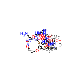 CN[C@@H](CSCc1cc2cc(c1)OCCCCCCO/N=C/C(=O)N[C@@H](CCCCN)C(=O)N[C@H](C(=O)N1CCC[C@H]1C(=O)N[C@@H](CC(C)C)C(=O)N[C@@H](CC(=O)OOC)C(=O)N[C@H](C(=O)N1CCC[C@H]1C(=O)N[C@@H](Cc1ccc(O)cc1)C(=O)N[C@H](C=O)CCC(=O)O)[C@@H](C)O)CSC2)C(N)=O